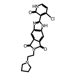 O=C1c2cc3nc(-c4c(Cl)cc[nH]c4=O)[nH]c3cc2C(=O)N1CCN1CCCC1